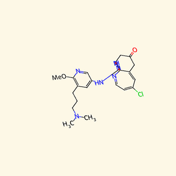 COc1ncc(NC2=NC=C3CC(=O)CC4=CC(Cl)=CC=NC34N2)cc1CCCN(C)C